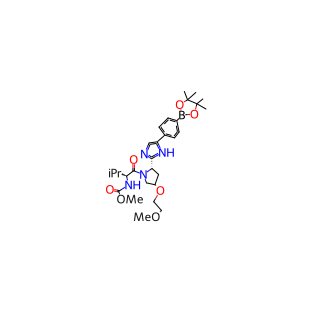 COCCO[C@H]1C[C@@H](c2ncc(-c3ccc(B4OC(C)(C)C(C)(C)O4)cc3)[nH]2)N(C(=O)[C@@H](NC(=O)OC)C(C)C)C1